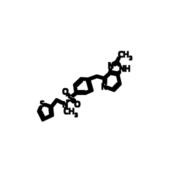 Cc1nc2c(Cc3ccc(S(=O)(=O)N(C)Cc4cccs4)cc3)nccc2[nH]1